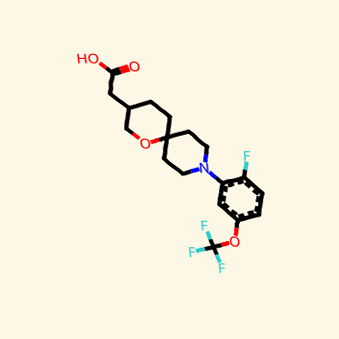 O=C(O)CC1CCC2(CCN(c3cc(OC(F)(F)F)ccc3F)CC2)OC1